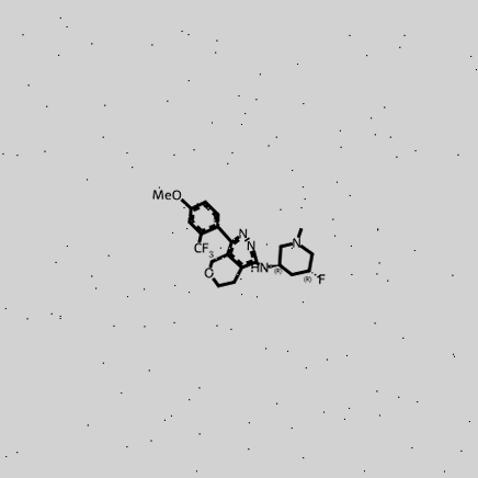 COc1ccc(-c2nnc(N[C@@H]3C[C@@H](F)CN(C)C3)c3c2COCC3)c(C(F)(F)F)c1